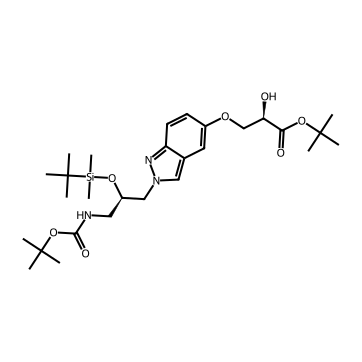 CC(C)(C)OC(=O)NC[C@H](Cn1cc2cc(OC[C@@H](O)C(=O)OC(C)(C)C)ccc2n1)O[Si](C)(C)C(C)(C)C